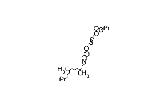 CC(C)CCCC(C)CCCC(C)CCCN1CCc2cc(OCCSSCCOC3CCCC3OC(C)C)ccc2C1